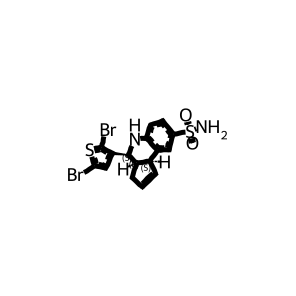 NS(=O)(=O)c1ccc2c(c1)[C@H]1C=CC[C@H]1[C@@H](c1cc(Br)sc1Br)N2